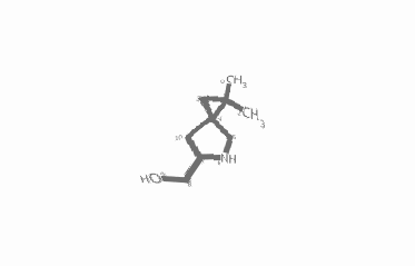 CC1(C)CC12CNC(CO)C2